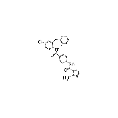 Cc1sccc1C(=O)Nc1ccc(C(=O)N2Cc3ccccc3Cc3cc(Cl)ccc32)cc1